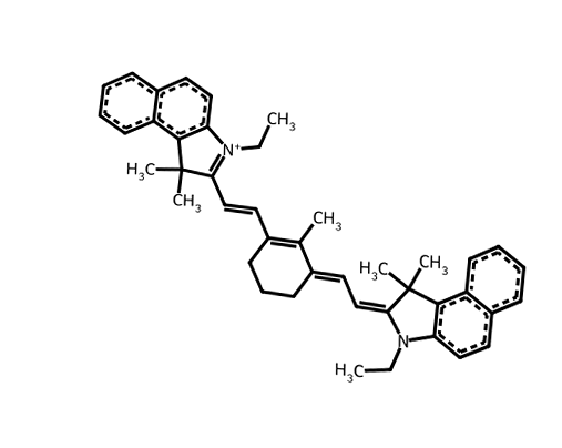 CCN1/C(=C/C=C2\CCCC(/C=C/C3=[N+](CC)c4ccc5ccccc5c4C3(C)C)=C2C)C(C)(C)c2c1ccc1ccccc21